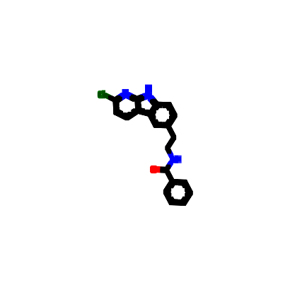 O=C(NCCc1ccc2[nH]c3nc(Cl)ccc3c2c1)c1ccccc1